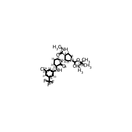 CNC(=O)[C@H]1CCN(C(O)OC(C)(C)C)C[C@@H]1N1CCCC(Nc2cc(Cl)cc(C(F)(F)F)c2)C1=O